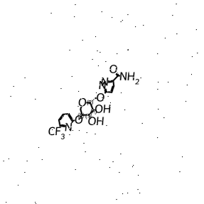 NC(=O)c1ccc(OC[C@H]2OC[C@H](Oc3cccc(C(F)(F)F)n3)[C@@H](O)[C@H]2O)nn1